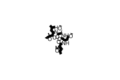 COCCC(NC(=O)c1cc(C)on1)C(=O)N[C@@H](COC)C(=O)NC(CC(C)C)C(=O)[C@@]1(C)CO1